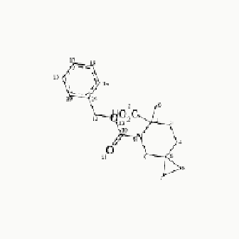 CC1(C(=O)O)CCC2(CC2)CN1C(=O)OCc1ccccc1